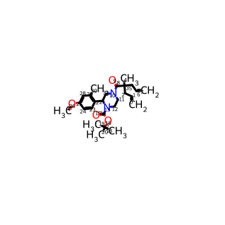 C=CCC(C)(CC=C)C(=O)N1CCN(C(=O)OC(C)(C)C)C(c2ccc(OC)cc2C)C1